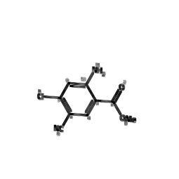 COC(=O)c1cc(C#N)c(Cl)cc1N